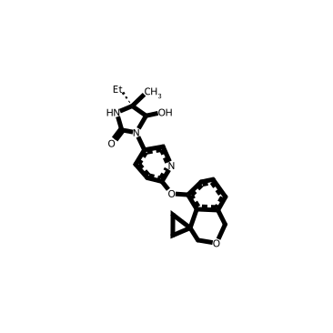 CC[C@@]1(C)NC(=O)N(c2ccc(Oc3cccc4c3C3(CC3)COC4)nc2)C1O